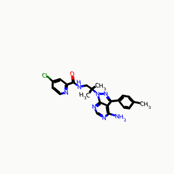 Cc1ccc(-c2nn(C(C)(C)CNC(=O)c3cc(Cl)ccn3)c3ncnc(N)c23)cc1